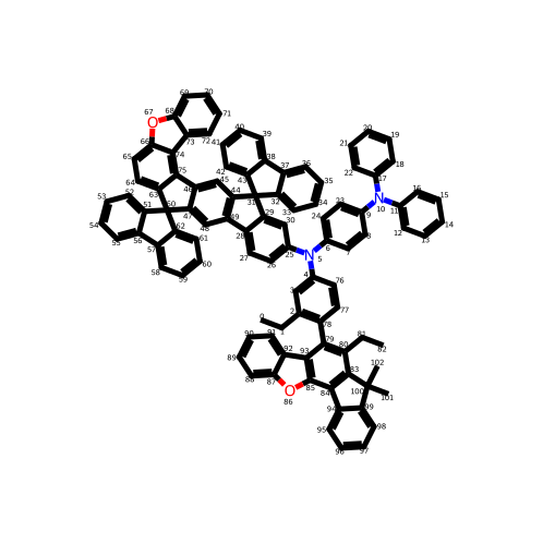 CCc1cc(N(c2ccc(N(c3ccccc3)c3ccccc3)cc2)c2ccc3c(c2)C2(c4ccccc4-c4ccccc42)c2cc4c(cc2-3)C2(c3ccccc3-c3ccccc32)c2ccc3oc5ccccc5c3c2-4)ccc1-c1c(CC)c2c(c3oc4ccccc4c13)-c1ccccc1C2(C)C